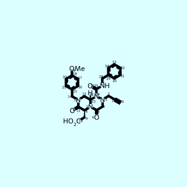 C#CCN1CC(=O)N2[C@@H](CC(=O)O)C(=O)N(Cc3ccc(OC)cc3)C[C@@H]2N1C(=O)NCc1ccccc1